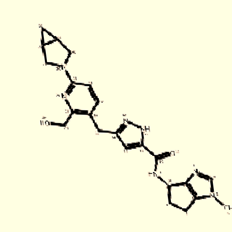 Cn1cnc2c1CC[C@H]2NC(=O)c1cc(Cc2ccc(N3CC4CC4C3)nc2CO)n[nH]1